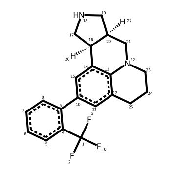 FC(F)(F)c1ccccc1-c1cc2c3c(c1)[C@H]1CNC[C@H]1CN3CCC2